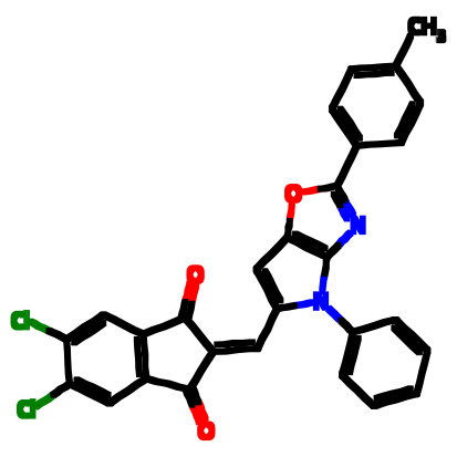 Cc1ccc(-c2nc3c(cc(C=C4C(=O)c5cc(Cl)c(Cl)cc5C4=O)n3-c3ccccc3)o2)cc1